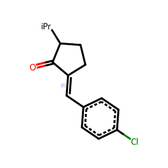 CC(C)C1CC/C(=C\c2ccc(Cl)cc2)C1=O